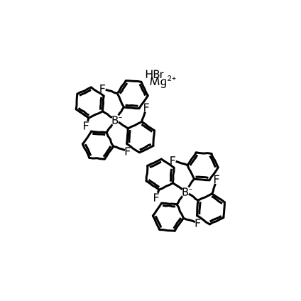 Br.Fc1ccccc1[B-](c1ccccc1F)(c1ccccc1F)c1ccccc1F.Fc1ccccc1[B-](c1ccccc1F)(c1ccccc1F)c1ccccc1F.[Mg+2]